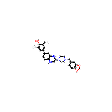 Cc1cc(-c2ccc3ncc(N4CCN(Cc5ccc6c(c5)OCO6)CC4)nc3c2)cc(C)c1O